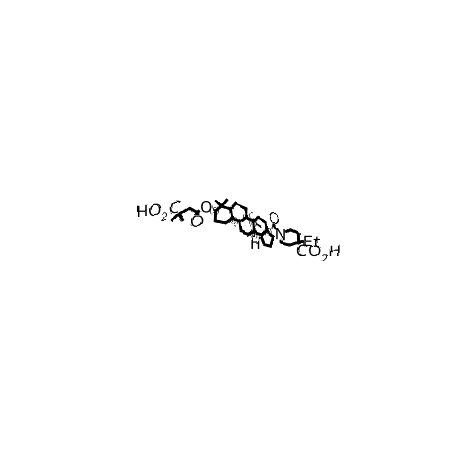 CCC1(C(=O)O)CCN(C(=O)[C@]23CCCC2[C@H]2CCC4[C@@]5(C)CC[C@H](OC(=O)CC(C)(C)C(=O)O)C(C)(C)C5CC[C@@]4(C)[C@]2(C)CC3)CC1